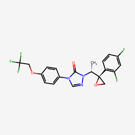 C[C@@H](n1ncn(-c2ccc(OCC(F)(F)F)cc2)c1=O)[C@]1(c2ccc(F)cc2F)CO1